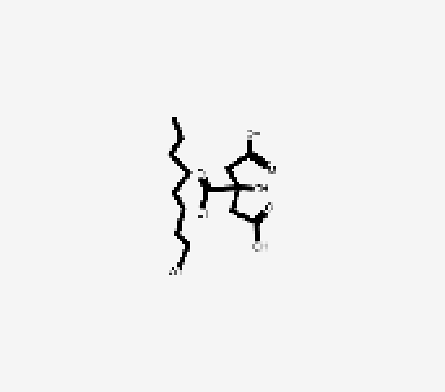 CCCCCCC[CH2][Zn].O=C(O)CC(O)(CC(=O)O)C(=O)O